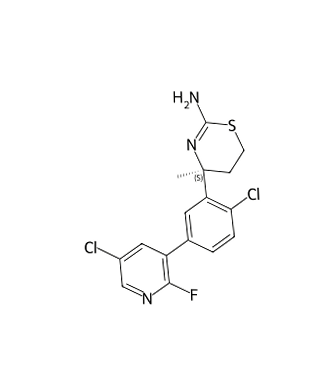 C[C@@]1(c2cc(-c3cc(Cl)cnc3F)ccc2Cl)CCSC(N)=N1